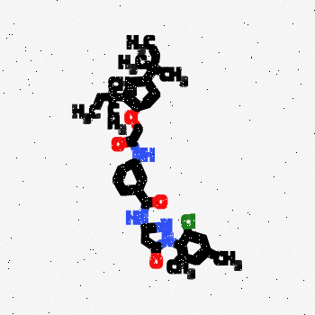 CCC(C)(C)c1ccc(OCC(=O)Nc2cccc(C(=O)NC3=NN(c4c(C)cc(C)cc4Cl)C(=O)C3)c2)c(C(C)(C)CC)c1